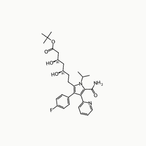 CC(C)n1c(CC[C@@H](O)C[C@@H](O)CC(=O)OC(C)(C)C)c(-c2ccc(F)cc2)c(-c2ccccn2)c1C(N)=O